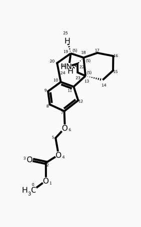 COC(=O)OCOc1ccc2c(c1)[C@]13CCCC[C@@H]1[C@H](C2)NCC3